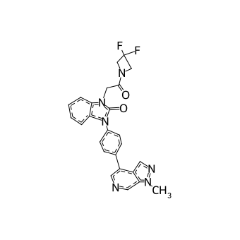 Cn1ncc2c(-c3ccc(-n4c(=O)n(CC(=O)N5CC(F)(F)C5)c5ccccc54)cc3)cncc21